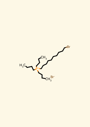 CCCC[P+](CCCC)(CCCC)CCCCCCCCCCBr.[Br-]